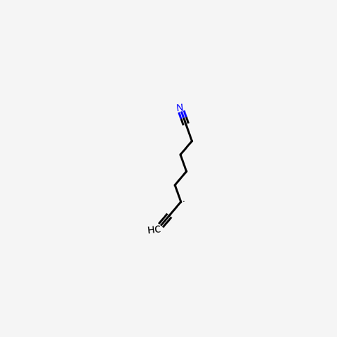 C#C[CH]CCCCC#N